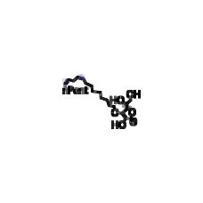 CCCCC/C=C\C/C=C\CCCCCCCCOC1=C(O)C(=O)O[C@@H]1[C@@H](O)CO